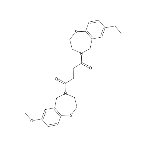 CCc1ccc2c(c1)CN(C(=O)CCC(=O)N1CCSc3ccc(OC)cc3C1)CCS2